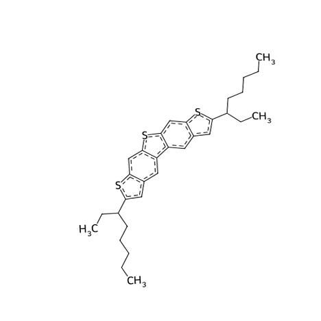 CCCCCC(CC)c1cc2cc3c(cc2s1)sc1cc2sc(C(CC)CCCCC)cc2cc13